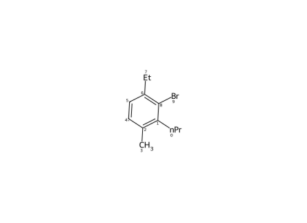 CCCc1c(C)[c]cc(CC)c1Br